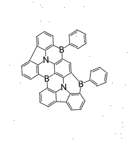 c1ccc(B2c3cc4c5c6c3-n3c7c2cccc7c2cccc(c23)B6c2cccc3c6cccc(c6n-5c23)B4c2ccccc2)cc1